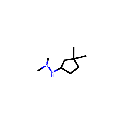 CN(C)NC1CCC(C)(C)C1